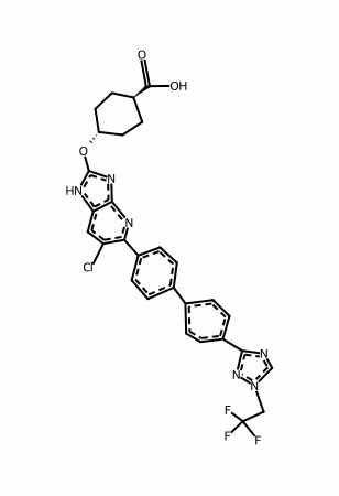 O=C(O)[C@H]1CC[C@H](Oc2nc3nc(-c4ccc(-c5ccc(-c6ncn(CC(F)(F)F)n6)cc5)cc4)c(Cl)cc3[nH]2)CC1